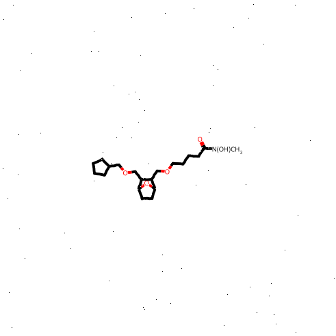 CN(O)C(=O)CCCCOCC1C2CCC(O2)C1COCC1CCCC1